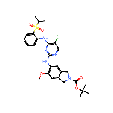 COc1cc2c(cc1Nc1ncc(Cl)c(Nc3ccccc3S(=O)(=O)C(C)C)n1)CN(C(=O)OC(C)(C)C)C2